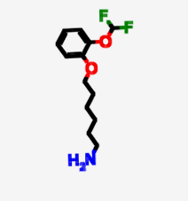 NCCCCCCOc1ccccc1OC(F)F